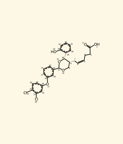 O=C(O)CC/C=C\C[C@@H]1COC(c2cccc(Oc3ccc(Cl)c(Cl)c3)c2)O[C@@H]1c1ccccc1O